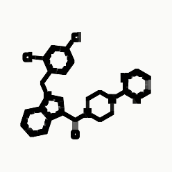 O=C(c1cn(Cc2ccc(Cl)cc2Cl)c2ccccc12)N1CCN(c2ncccn2)CC1